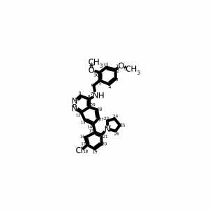 COc1ccc(CNc2cnnc3cc(-c4cc(Cl)ccc4N4CCCC4)ccc23)c(OC)c1